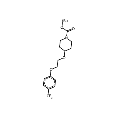 CC(C)(C)OC(=O)N1CCC(OCCOc2ccc(C(F)(F)F)cc2)CC1